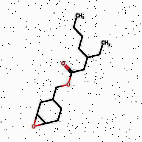 CCCCC(CC)CC(=O)OCC1CCC2OC2C1